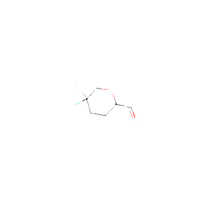 O=CC1CCC(F)(F)CO1